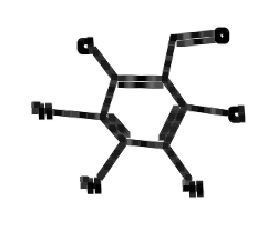 [2H]c1c([2H])c(Cl)c(C=O)c(Cl)c1[2H]